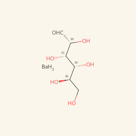 O=C[C@H](O)[C@@H](O)[C@H](O)[C@H](O)CO.[BaH2]